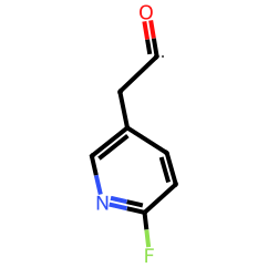 O=[C]Cc1ccc(F)nc1